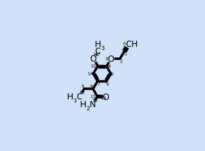 C#CCOc1ccc(C(CC)C(N)=O)cc1OC